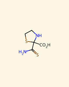 NC(=S)C1(C(=O)O)NCCS1